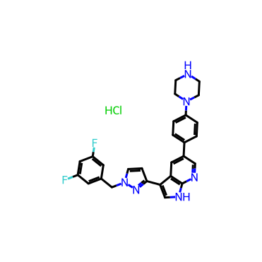 Cl.Fc1cc(F)cc(Cn2ccc(-c3c[nH]c4ncc(-c5ccc(N6CCNCC6)cc5)cc34)n2)c1